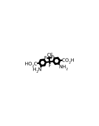 Nc1cc(C(F)(c2ccc(C(=O)O)c(N)c2)C(F)(F)C(F)(F)F)ccc1C(=O)O